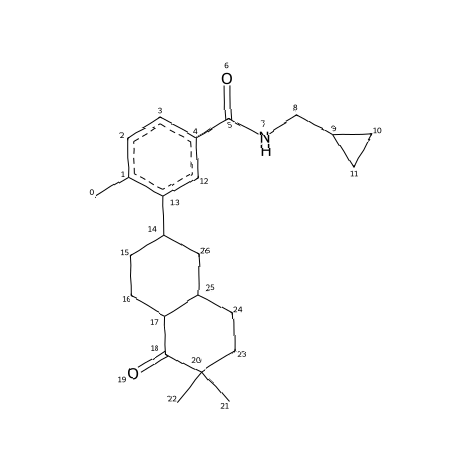 Cc1ccc(C(=O)NCC2CC2)cc1C1CCC2C(=O)C(C)(C)CCC2C1